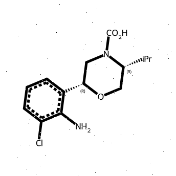 CC(C)[C@@H]1CO[C@H](c2cccc(Cl)c2N)CN1C(=O)O